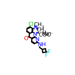 CN(C)c1c(Cl)ccc2c(=O)c3ccc(NCC4CC(F)(F)C4)nc3n(CC(=O)[O-])c12.[Na+]